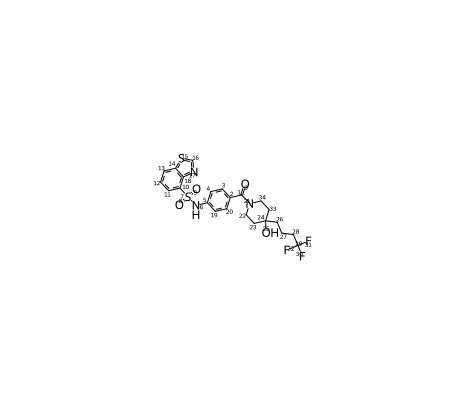 O=C(c1ccc(NS(=O)(=O)c2cccc3scnc23)cc1)N1CCC(O)(CCCC(F)(F)F)CC1